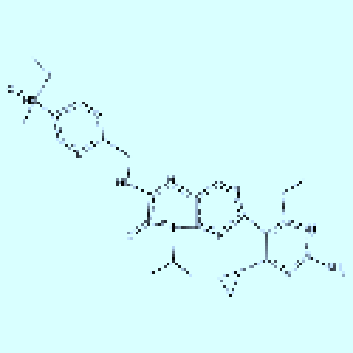 CCc1nc(N)nc(C2CC2)c1-c1ncc2nc(NCc3ccc([SH](C)(=O)CC)cn3)c(=O)n(C(C)C)c2n1